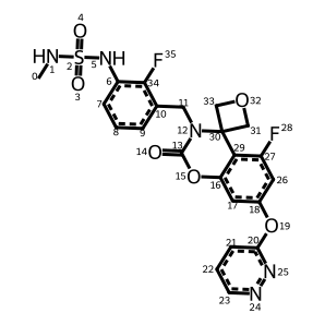 CNS(=O)(=O)Nc1cccc(CN2C(=O)Oc3cc(Oc4cccnn4)cc(F)c3C23COC3)c1F